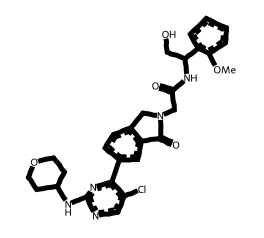 COc1ccccc1C(CO)NC(=O)CN1Cc2ccc(-c3nc(NC4CCOCC4)ncc3Cl)cc2C1=O